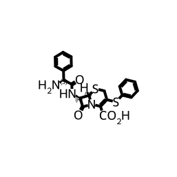 N[C@H](C(=O)N[C@@H]1C(=O)N2C(C(=O)O)=C(Sc3ccccc3)CS[C@@H]12)c1ccccc1